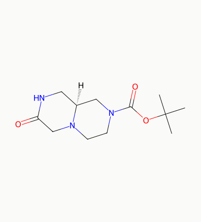 CC(C)(C)OC(=O)N1CCN2CC(=O)NC[C@H]2C1